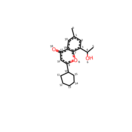 Cc1cc(C(C)O)c2oc(C3CCCCC3)cc(=O)c2c1